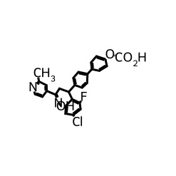 Cc1cc(/C(CC(c2ccc(-c3ccc(OC(=O)O)cc3)cc2)c2ccc(Cl)cc2F)=N/O)ccn1